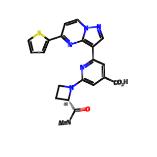 CNC(=O)[C@@H]1CCN1c1cc(C(=O)O)cc(-c2cnn3ccc(-c4cccs4)nc23)n1